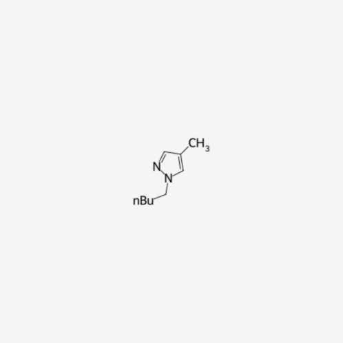 CCCCCn1cc(C)cn1